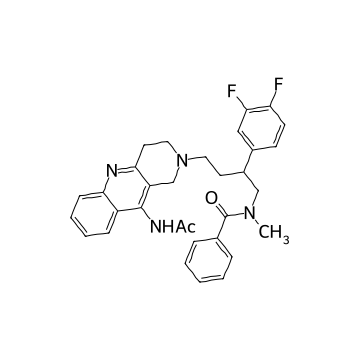 CC(=O)Nc1c2c(nc3ccccc13)CCN(CCC(CN(C)C(=O)c1ccccc1)c1ccc(F)c(F)c1)C2